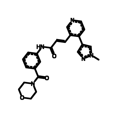 Cn1cc(-c2ccncc2/C=C/C(=O)Nc2cccc(C(=O)N3CCOCC3)c2)cn1